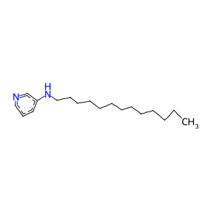 CCCCCCCCCCCCCNc1cccnc1